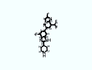 Cc1cn2nc(-c3cc(F)c4nc(C5CCNCC5)[nH]c4c3)cc(C(F)F)c2n1